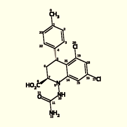 Cc1ccc([C@H]2C[C@H](C(=O)O)N(NC(N)=O)c3cc(Cl)cc(Cl)c32)cc1